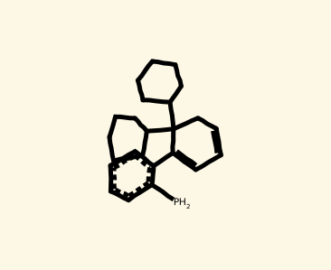 Pc1ccccc1C1=CC=CCC1(C1CCCCC1)C1CCCCC1